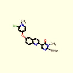 CNc1ncc(-c2ccc3cc(Oc4cc[n+](C)c(Br)c4)ccc3n2)c(=O)n1C